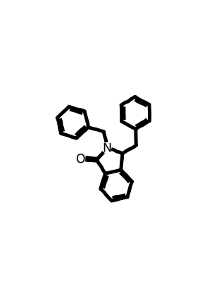 O=C1c2ccccc2C(Cc2ccccc2)N1Cc1ccccc1